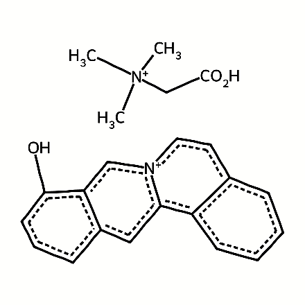 C[N+](C)(C)CC(=O)O.Oc1cccc2cc3c4ccccc4cc[n+]3cc12